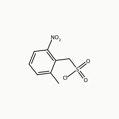 Cc1cccc([N+](=O)[O-])c1CS(=O)(=O)Cl